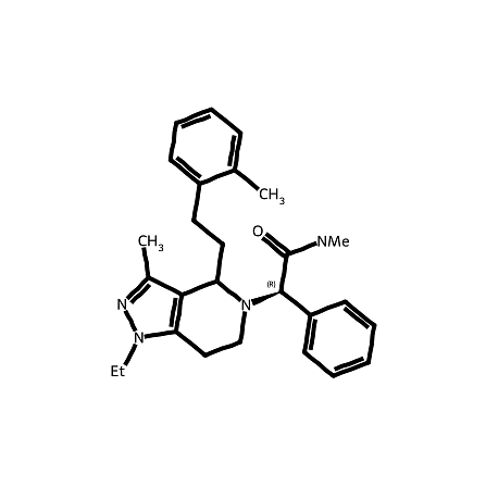 CCn1nc(C)c2c1CCN([C@@H](C(=O)NC)c1ccccc1)C2CCc1ccccc1C